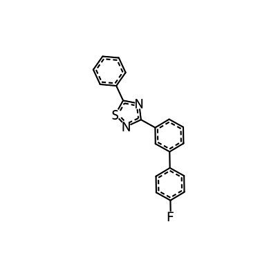 Fc1ccc(-c2cccc(-c3nsc(-c4ccccc4)n3)c2)cc1